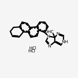 Cl.Cl.O=CC12N=CNC=C1N=CN2c1cccc2c1ccc1c3c(ccc12)CCC=C3